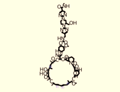 CNC(=O)c1cnc(N2CCN(c3ncc(CNC(=O)O[C@@H]4CC[C@@H](C[C@@H](N)[C@@H]5CC(=O)[C@H](C)/C=C(\C)[C@@H](O)[C@@H](O)C(=O)[C@H](C)C[C@H](C)/C=C/C=C/C=C(\C)[C@@H](OC)C[C@@H]6CC[C@@H](C)[C@@](O)(O6)C(=O)C(=O)N6CCCC[C@H]6C(=O)O5)C[C@H]4OC)cn3)C(CO)C2)nc1